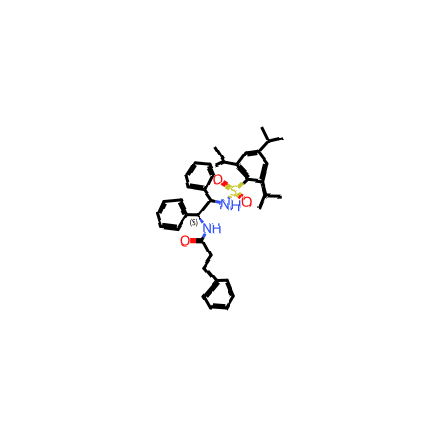 CC(C)c1cc(C(C)C)c(S(=O)(=O)NC(c2ccccc2)[C@@H](NC(=O)CCc2ccccc2)c2ccccc2)c(C(C)C)c1